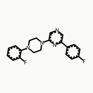 Fc1ccc(-c2cncc(N3CCN(c4ccccc4F)CC3)n2)cc1